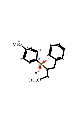 CCOC(=O)CC(Cc1ccccc1)S(=O)(=O)c1ccc(OC)cc1